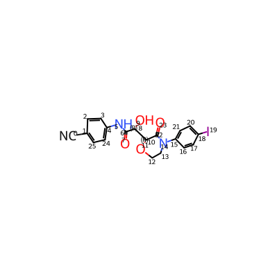 N#Cc1ccc(NC(=O)[C@H](O)[C@H]2OCCN(c3ccc(I)cc3)C2=O)cc1